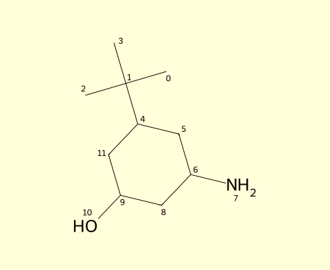 CC(C)(C)C1CC(N)CC(O)C1